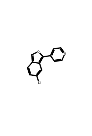 Clc1ccc2coc(-c3ccncc3)c2c1